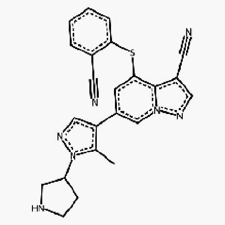 Cc1c(-c2cc(Sc3ccccc3C#N)c3c(C#N)cnn3c2)cnn1C1CCNC1